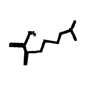 C=C(CCCCN(C)C)C(N)=O